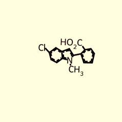 Cn1c(-c2ccccc2C(=O)O)cc2cc(Cl)ccc21